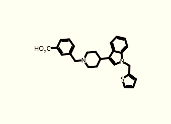 O=C(O)c1cccc(CN2CCC(c3cn(Cc4cccs4)c4ccccc34)CC2)c1